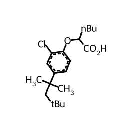 CCCCC(Oc1ccc(C(C)(C)CC(C)(C)C)cc1Cl)C(=O)O